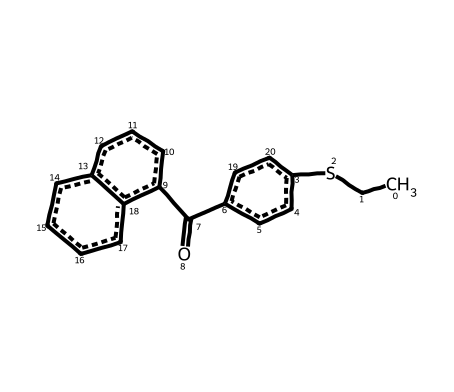 CCSc1ccc(C(=O)c2cccc3ccccc23)cc1